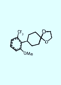 COc1cccc(C(F)(F)F)c1C1CCC2(CC1)OCCO2